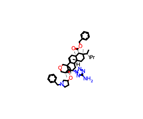 CC(C)[C@@H](C)[C@@]1(C)CC[C@]2(C)[C@H]3CC[C@@H]4C5(COC[C@]4(C)[C@@H](OC4CCN(Cc6ccccc6)C4)[C@H](n4nnc(N)n4)C5)C3=CC[C@@]2(C)[C@@H]1C(=O)OCc1ccccc1